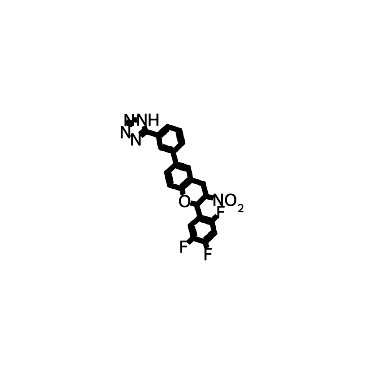 O=[N+]([O-])C1Cc2cc(-c3cccc(-c4nnn[nH]4)c3)ccc2OC1c1cc(F)c(F)cc1F